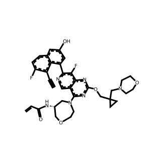 C#Cc1c(F)ccc2cc(O)cc(-c3ncc4c(N5CCOC[C@H](NC(=O)C=C)C5)nc(OCC5(CN6CCOCC6)CC5)nc4c3F)c12